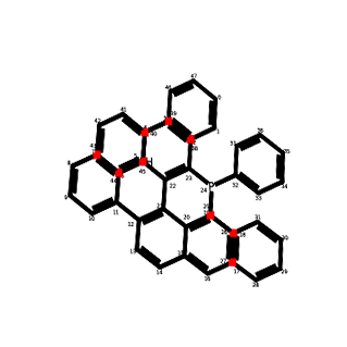 c1ccc(CPc2ccccc2-c2ccc3ccccc3c2-c2c(P(Cc3ccccc3)c3ccccc3)ccc3ccccc23)cc1